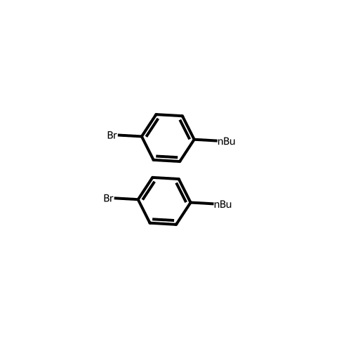 CCCCc1ccc(Br)cc1.CCCCc1ccc(Br)cc1